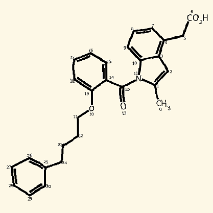 Cc1cc2c(CC(=O)O)cccc2n1C(=O)c1ccccc1OCCCCc1ccccc1